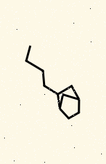 CCCCC1CC2CCC1C2